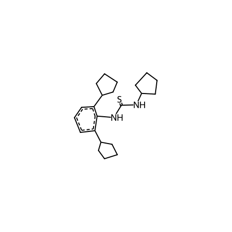 S=C(Nc1c(C2CCCC2)cccc1C1CCCC1)NC1CCCC1